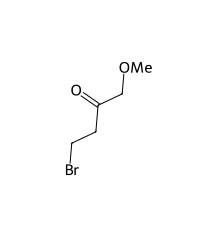 COCC(=O)CCBr